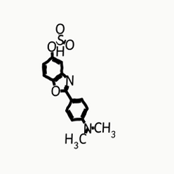 CN(C)c1ccc(-c2nc3cc(O[SH](=O)=O)ccc3o2)cc1